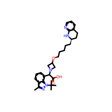 Cc1nn(C(C)(C)C)c2c(C(C(=O)O)N3CC(OCCCCC[C@@H]4CCc5cccnc5N4)C3)cccc12